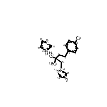 CC(C)(C)C(O)(CCc1ccc(Cl)cc1)Cn1cncn1.c1cc[nH]c1